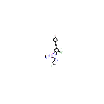 O=Cc1ccc(C#Cc2cc3c(c(C(F)(F)F)c2)CN(C(C(=O)Nc2nccs2)c2ncn4c2C[C@@H](F)C4)C3=O)cc1